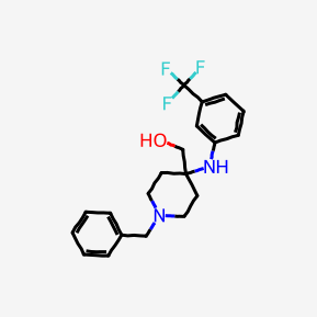 OCC1(Nc2cccc(C(F)(F)F)c2)CCN(Cc2ccccc2)CC1